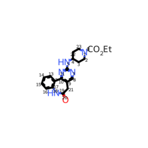 CCOC(=O)N1CCC(Nc2ncc3c(n2)-c2ccccc2NC(=O)C3)CC1